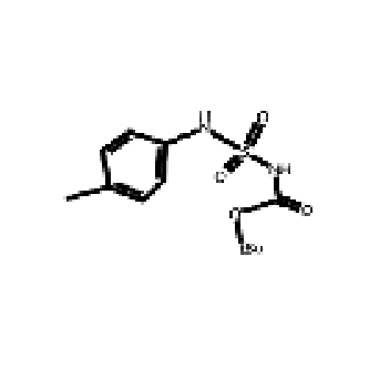 Cc1ccc(NS(=O)(=O)NC(=O)OC(C)(C)C)cc1